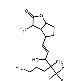 CCCCC(C)(C(O)/C=C/C1CCC2OC(=O)C(C)C12)C(F)(F)F